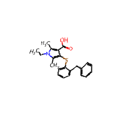 CCn1c(C)c(Sc2ccccc2Cc2ccccc2)c(C(=O)O)c1C